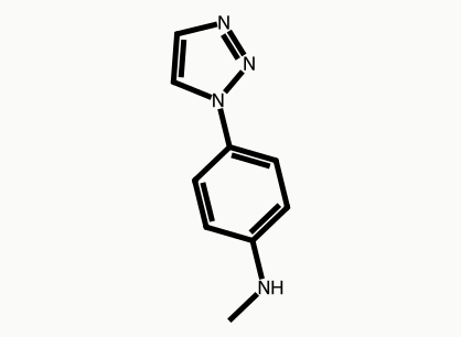 CNc1ccc(-n2ccnn2)cc1